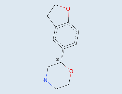 c1cc2c(cc1[C@H]1C[N]CCO1)CCO2